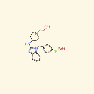 Br.OCCN1CCC(Nc2nc3ccccc3n2Cc2ccc(F)cc2)CC1